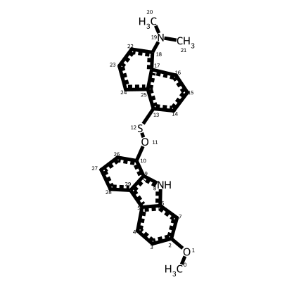 COc1ccc2c(c1)[nH]c1c(OSc3cccc4c(N(C)C)cccc34)cccc12